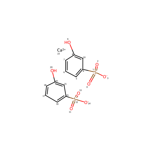 O=S(=O)([O-])c1cccc(O)c1.O=S(=O)([O-])c1cccc(O)c1.[Ca+2]